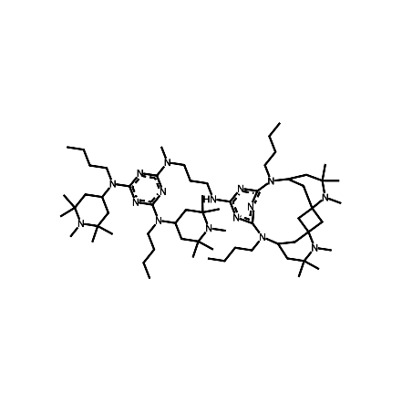 CCCCN1c2nc(NCCCN(C)c3nc(N(CCCC)C4CC(C)(C)N(C)C(C)(C)C4)nc(N(CCCC)C4CC(C)(C)N(C)C(C)(C)C4)n3)nc(n2)N(CCCC)C2CC(C)(C)N(C)C3(C2)CC2(CC1CC(C)(C)N2C)C3